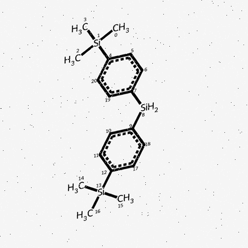 C[Si](C)(C)c1ccc([SiH2]c2ccc([Si](C)(C)C)cc2)cc1